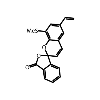 C=Cc1cc2c(c(SC)c1)OC1(C=C2)OC(=O)c2ccccc21